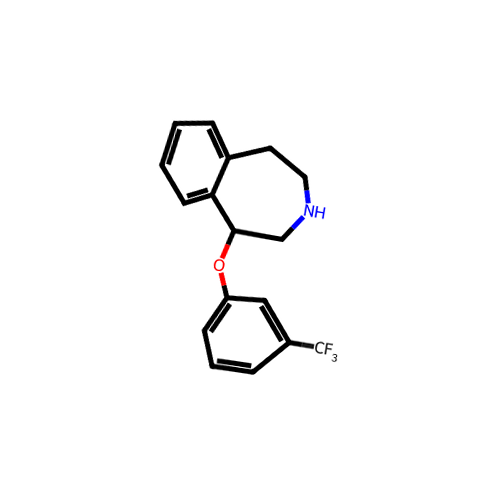 FC(F)(F)c1cccc(OC2CNCCc3ccccc32)c1